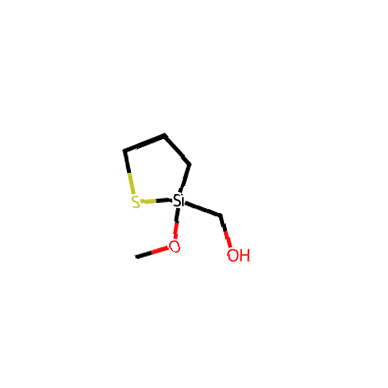 CO[Si]1(CO)CCCS1